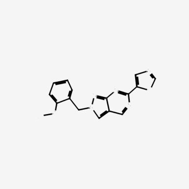 COc1ccccc1Cn1cc2cnc(-c3cnco3)nc2n1